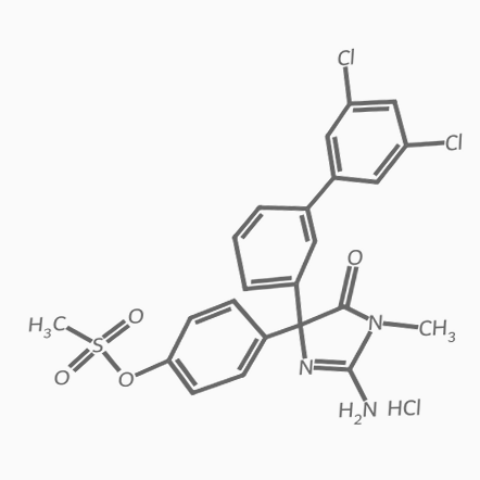 CN1C(=O)C(c2ccc(OS(C)(=O)=O)cc2)(c2cccc(-c3cc(Cl)cc(Cl)c3)c2)N=C1N.Cl